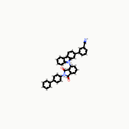 N#Cc1cccc(-c2ccc3c4ccccc4n(-c4cccc5c4C(=O)N(c4ccc(-c6ccccc6)cc4)C5=O)c3c2)c1